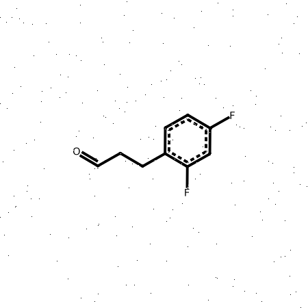 O=[C]CCc1ccc(F)cc1F